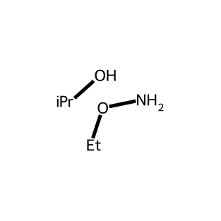 CC(C)O.CCON